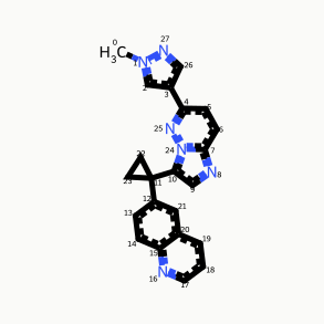 Cn1cc(-c2ccc3ncc(C4(c5ccc6ncccc6c5)CC4)n3n2)cn1